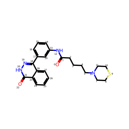 O=C(CCCCN1CCSCC1)Nc1cccc(-c2n[nH]c(=O)c3ccccc23)c1